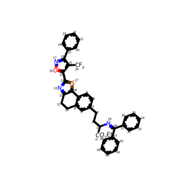 CCOC(=O)C(CCc1ccc2c(c1)CCc1nc(-c3onc(-c4ccccc4)c3C(F)(F)F)sc1-2)N=C(c1ccccc1)c1ccccc1